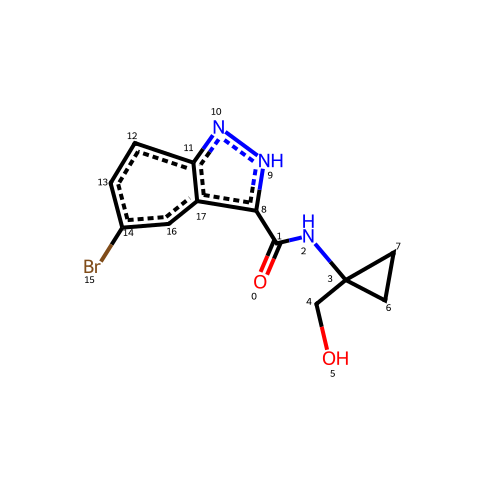 O=C(NC1(CO)CC1)c1[nH]nc2ccc(Br)cc12